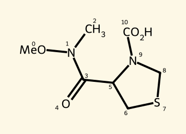 CON(C)C(=O)C1CSCN1C(=O)O